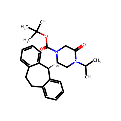 CC(C)N1C[C@H](C2c3ccccc3CCc3ccccc32)N(C(=O)OC(C)(C)C)CC1=O